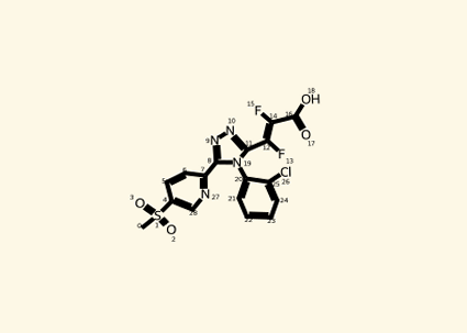 CS(=O)(=O)c1ccc(-c2nnc(/C(F)=C(\F)C(=O)O)n2-c2ccccc2Cl)nc1